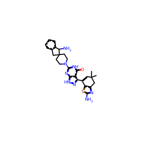 CC1(C)C=C(c2n[nH]c3nc(N4CCC5(CC4)Cc4ccccc4C5N)[nH]c(=O)c23)c2sc(N)nc2C1